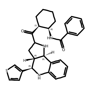 O=C(N[C@@H]1CCCC[C@@H]1C(=O)C1C[C@H]2[C@H](c3ccsc3)Nc3ccccc3[C@@H]2N1)c1ccccc1